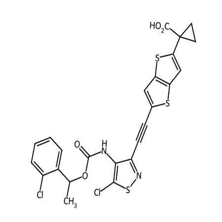 CC(OC(=O)Nc1c(C#Cc2cc3sc(C4(C(=O)O)CC4)cc3s2)nsc1Cl)c1ccccc1Cl